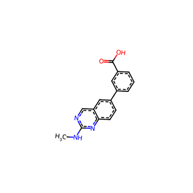 CNc1ncc2cc(-c3cccc(C(=O)O)c3)ccc2n1